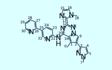 Cc1c(-c2ccn(C)n2)cn2nc(-c3nccn3C)nc(Nc3ccc(-c4ccccn4)cn3)c12